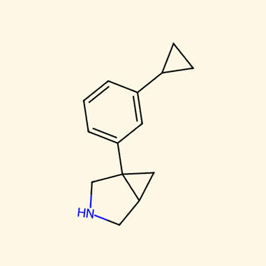 c1cc(C2CC2)cc(C23CNCC2C3)c1